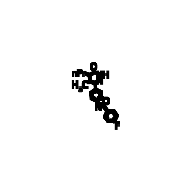 CCCC1C(=O)NN=C(c2ccc3nc(-c4ccc(F)cc4)oc3c2)C1C